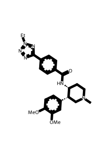 CCn1nnc(-c2ccc(C(=O)N[C@@H]3CCN(C)C[C@@H]3c3ccc(OC)c(OC)c3)cc2)n1